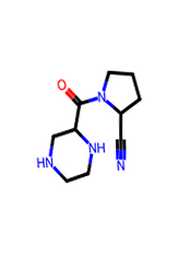 N#CC1CCCN1C(=O)C1CNCCN1